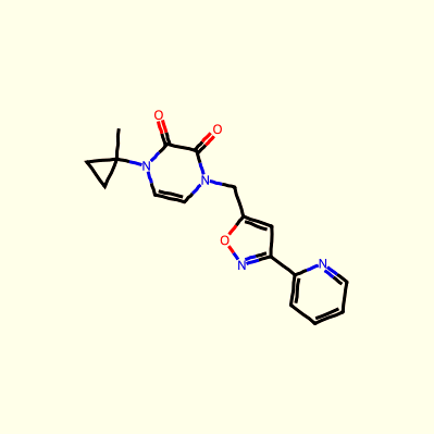 CC1(n2ccn(Cc3cc(-c4ccccn4)no3)c(=O)c2=O)CC1